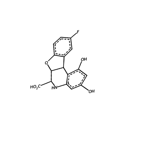 O=C(O)C1Nc2cc(O)cc(O)c2C2c3cc(F)ccc3OC12